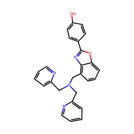 Oc1ccc(-c2nc3c(CN(Cc4ccccn4)Cc4ccccn4)cccc3o2)cc1